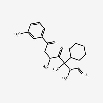 C=CN(C)C(C)(C(=O)N(C)CC(=O)c1cccc(C)c1)C1CCCCC1